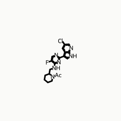 CC(=O)N1CCCCC1CNc1nc(-c2c[nH]c3ncc(Cl)cc23)ncc1F